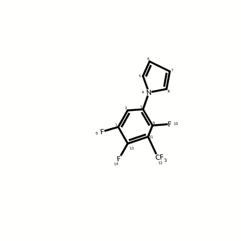 Fc1cc(-n2cccc2)c(F)c(C(F)(F)F)c1F